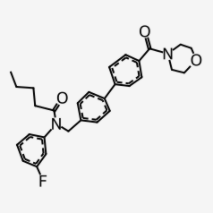 CCCCC(=O)N(Cc1ccc(-c2ccc(C(=O)N3CCOCC3)cc2)cc1)c1cccc(F)c1